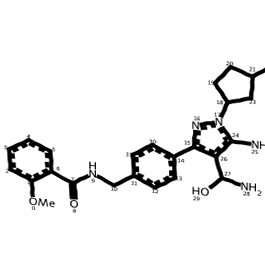 COc1ccccc1C(=O)NCc1ccc(-c2nn(C3CCC(C)C3)c(N)c2C(N)O)cc1